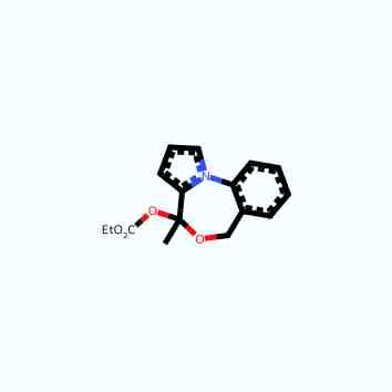 CCOC(=O)OC1(C)OCc2ccccc2-n2cccc21